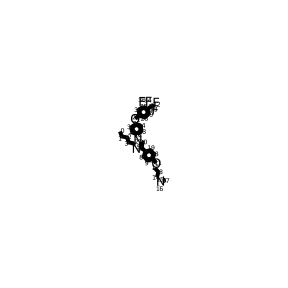 CCCCc1nc(-c2ccc(OCCCN(C)C)cc2)cn1-c1ccc(Oc2ccc(C(F)(F)F)c(F)c2)cc1